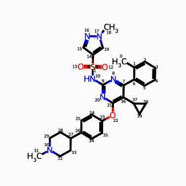 Cc1ccccc1-c1nc(NS(=O)(=O)c2cnn(C)c2)nc(Oc2ccc(C3CCN(C)CC3)cc2)c1C1CC1